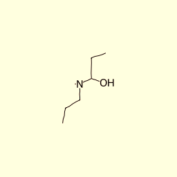 CCC[N]C(O)CC